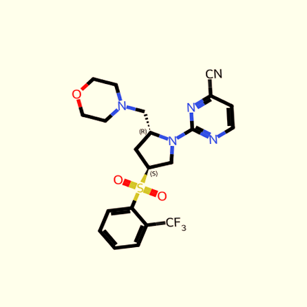 N#Cc1ccnc(N2C[C@@H](S(=O)(=O)c3ccccc3C(F)(F)F)C[C@@H]2CN2CCOCC2)n1